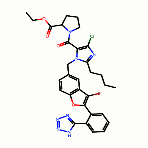 CCCCc1nc(Cl)c(C(=O)N2CCCC2C(=O)OCC)n1Cc1ccc2oc(-c3ccccc3-c3nnn[nH]3)c(Br)c2c1